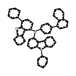 c1ccc(-c2ccc(N(c3ccc(-c4cccc5ccccc45)cc3)c3cccc4c3c3ccccc3n4-c3ccccc3)c3c2oc2ccccc23)cc1